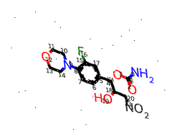 NC(=O)O[C@@H](c1ccc(N2CCOCC2)c(F)c1)C(O)C[N+](=O)[O-]